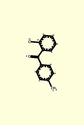 Cc1ccc(C(=O)c2ccccc2Cl)cc1